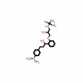 CCC(C)(C)NCC(O)COc1ccccc1C(O)CCc1ccc(N(C)C)cc1